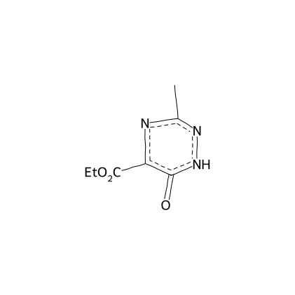 CCOC(=O)c1nc(C)n[nH]c1=O